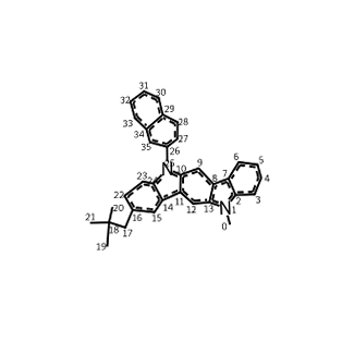 Cn1c2ccccc2c2cc3c(cc21)c1cc(CC(C)(C)C)ccc1n3-c1ccc2ccccc2c1